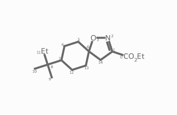 CCOC(=O)C1=NOC2(CCC(C(C)(C)CC)CC2)C1